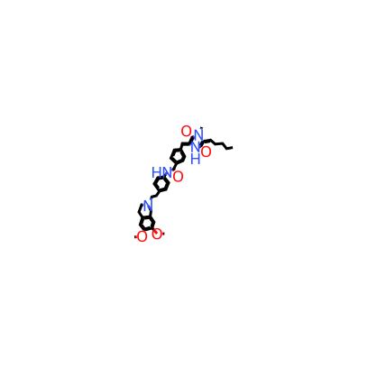 CCCCC=c1c(=O)[nH]c(=Cc2ccc(C(=O)Nc3ccc(CCN4CCc5cc(OC)c(OC)cc5C4)cc3)cc2)c(=O)n1C